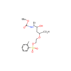 CCC(NC(=O)OC(C)(C)C)C(O)CC(OCCOS(=O)(=O)c1ccccc1C)C(=O)O